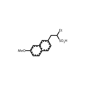 CCC(Cc1ccc2ccc(OC)cc2c1)S(=O)(=O)O